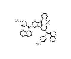 CC1(C)c2ccccc2-n2c3ccc(N(C4=CCC(C(C)(C)C)C=C4)c4cccc5ccccc45)cc3c3cc(N(C4=CCC(C(C)(C)C)C=C4)c4cccc5ccccc45)cc1c32